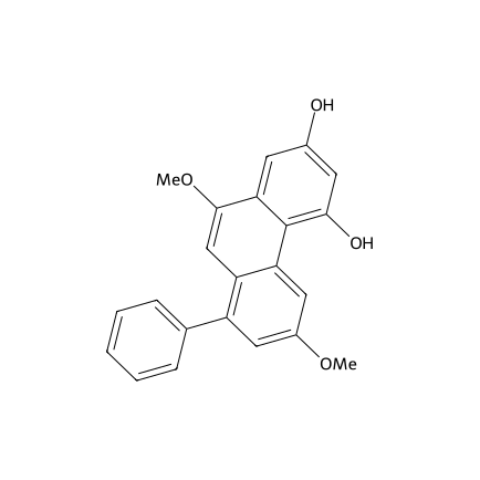 COc1cc(-c2ccccc2)c2cc(OC)c3cc(O)cc(O)c3c2c1